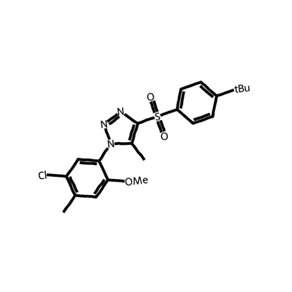 COc1cc(C)c(Cl)cc1-n1nnc(S(=O)(=O)c2ccc(C(C)(C)C)cc2)c1C